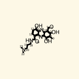 Cc1c(O)c(C=O)c2nc3c(O)ccc(C(=O)NCCCN(C)C)c3nc2c1O